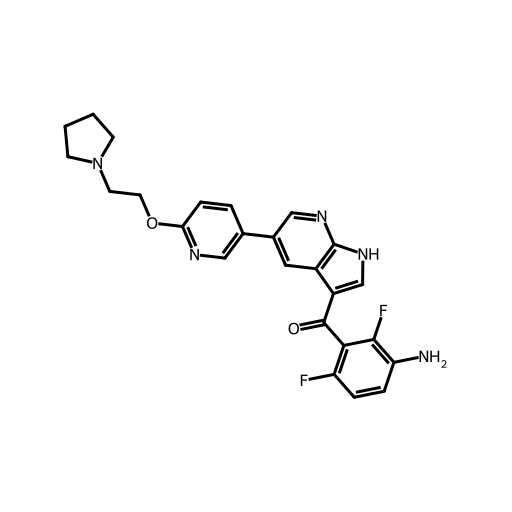 Nc1ccc(F)c(C(=O)c2c[nH]c3ncc(-c4ccc(OCCN5CCCC5)nc4)cc23)c1F